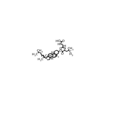 CC(C)CCC[C@@H](C)[C@H]1CC[C@H]2[C@@H]3CC=C4C[C@@H](OC(=O)C(CC(C)C)NC(=O)CNC(=O)O)CC[C@]4(C)[C@H]3CC[C@]12C